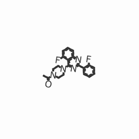 CC(=O)N1CCN(c2nc(-c3ccccc3F)nc3cccc(F)c23)CC1